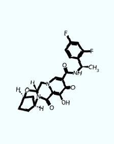 C[C@@H](NC(=O)c1cn2c(c(O)c1=O)C(=O)N1[C@H]3CC[C@H](C3)O[C@@H]1C2)c1ccc(F)cc1F